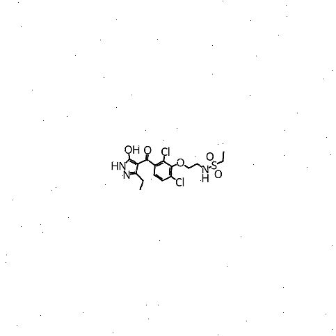 CCc1n[nH]c(O)c1C(=O)c1ccc(Cl)c(OCCNS(=O)(=O)CC)c1Cl